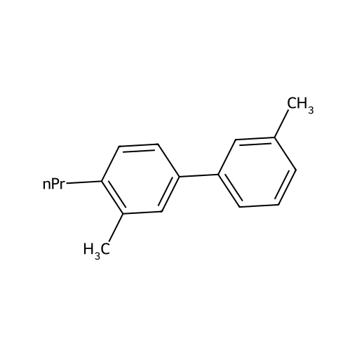 [CH2]CCc1ccc(-c2cccc(C)c2)cc1C